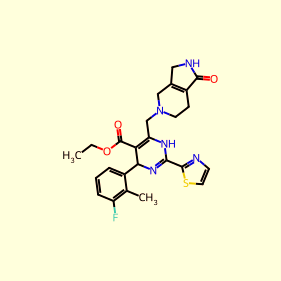 CCOC(=O)C1=C(CN2CCC3=C(CNC3=O)C2)NC(c2nccs2)=NC1c1cccc(F)c1C